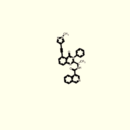 C[C@H](NC(=O)c1cncc2ccccc12)c1nc2cccc(C#Cc3cnn(C)c3)c2c(=O)n1-c1ccccc1